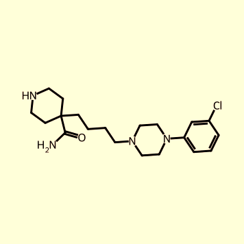 NC(=O)C1(CCCCN2CCN(c3cccc(Cl)c3)CC2)CCNCC1